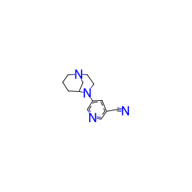 N#Cc1cncc(N2CCN3CCCC2C3)c1